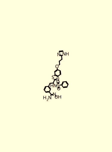 NC(=NO)c1cccc(CC(NS(=O)(=O)c2ccccc2)c2nc3ccc(OCCCc4ncc[nH]4)cc3s2)c1